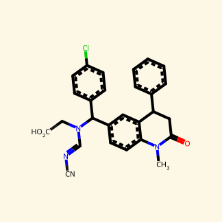 CN1C(=O)CC(c2ccccc2)c2cc(C(c3ccc(Cl)cc3)N(/C=N/C#N)CC(=O)O)ccc21